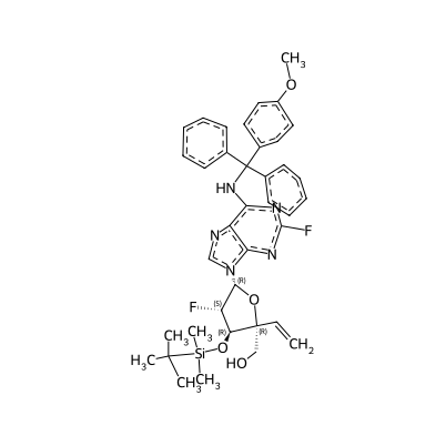 C=C[C@]1(CO)O[C@@H](n2cnc3c(NC(c4ccccc4)(c4ccccc4)c4ccc(OC)cc4)nc(F)nc32)[C@@H](F)[C@@H]1O[Si](C)(C)C(C)(C)C